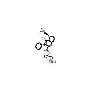 C[C@H](NC(=O)OC(C)(C)C)c1cc2cccc(C#C[Si](C)(C)C)c2c(=O)n1-c1ccccc1